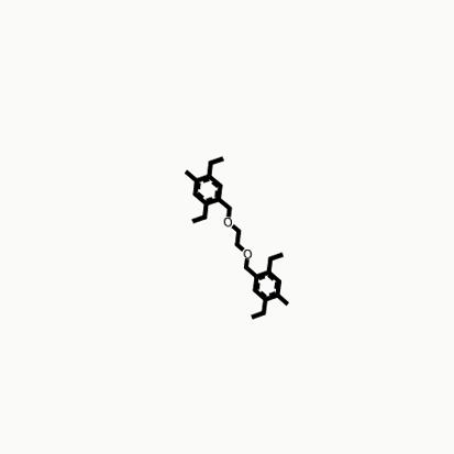 CCc1cc(COCCOCc2cc(CC)c(C)cc2CC)c(CC)cc1C